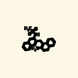 CS(=O)(=O)Nc1cc2ccccc2cc1Cc1c(N)ccc2ccccc12